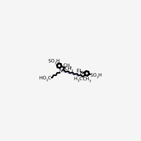 CC[N+]1=C(/C=C/C=C/C=C/C=C2/N(CCCCCC(=O)O)c3ccc(S(=O)(=O)O)cc3C2(C)C)C(C)(C)c2cc(S(=O)(=O)O)ccc21